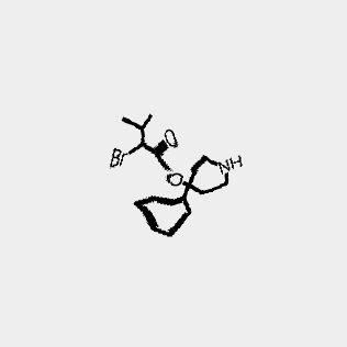 CC(C)C(Br)C(=O)OC1(c2ccccc2)CCNCC1